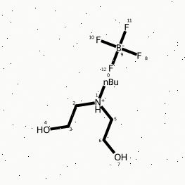 CCCC[NH+](CCO)CCO.F[B-](F)(F)F